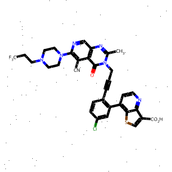 Cc1nc2cnc(N3CCN(CCC(F)(F)F)CC3)c(C#N)c2c(=O)n1CC#Cc1ccc(Cl)cc1-c1ccnc2c(C(=O)O)csc12